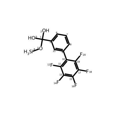 OC(O)(O[SiH3])c1cccc(-c2c(F)c(F)c(F)c(F)c2F)c1